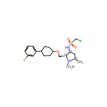 C[C@@H]1C[C@H](NS(=O)(=O)CF)[C@H](COC2CCC(c3cccc(F)c3)CC2)N1C(=O)O